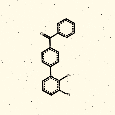 CCc1cccc(-c2ccc(C(=O)c3ccccc3)cc2)c1C(C)C